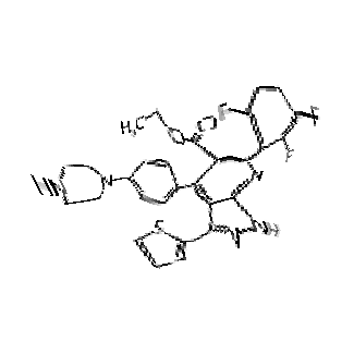 CCOC(=O)c1c(-c2c(F)ccc(F)c2F)nc2[nH]nc(-c3cccs3)c2c1-c1ccc(N2CCNCC2)cc1